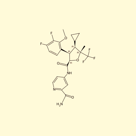 COc1c([C@H]2[C@@H](C3CC3)[C@](C)(C(F)(F)F)O[C@H]2C(=O)Nc2ccnc(C(N)=O)c2)ccc(F)c1F